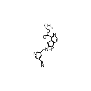 CCOC(=O)c1nccc2sc(NCc3cncc(C#N)c3)cc12